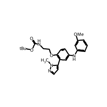 COc1cccc(Nc2ccc(OCCNC(=O)OC(C)(C)C)c(-c3ccnn3C)c2)c1